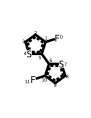 Fc1ccsc1-c1sccc1F